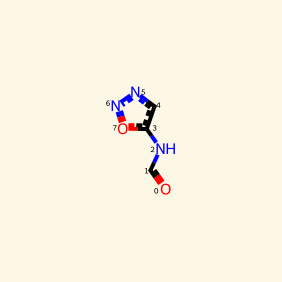 O=CNc1cnno1